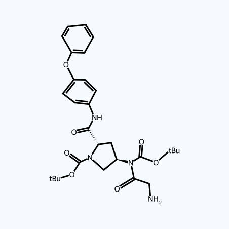 CC(C)(C)OC(=O)N1C[C@H](N(C(=O)CN)C(=O)OC(C)(C)C)C[C@H]1C(=O)Nc1ccc(Oc2ccccc2)cc1